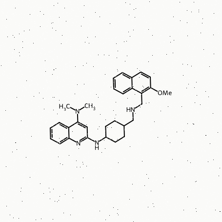 COc1ccc2ccccc2c1CNCC1CCC(Nc2cc(N(C)C)c3ccccc3n2)CC1